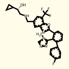 Cn1cnnc1-c1c(-c2ccc(F)cc2)cccc1-c1nc2cc(CNC[C@@H](O)C3CC3)cc(C(F)(F)F)c2o1